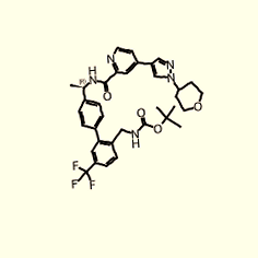 C[C@@H](NC(=O)c1cc(-c2cnn(C3CCOCC3)c2)ccn1)c1ccc(-c2cc(C(F)(F)F)ccc2CNC(=O)OC(C)(C)C)cc1